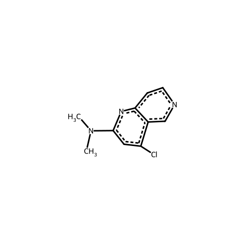 CN(C)c1cc(Cl)c2cnccc2n1